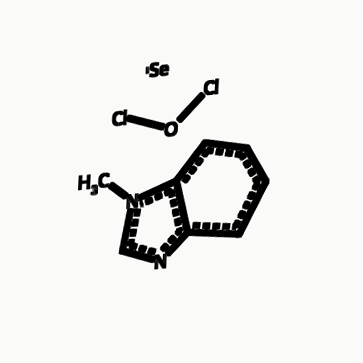 ClOCl.Cn1cnc2ccccc21.[Se]